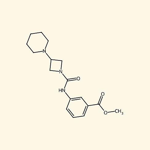 COC(=O)c1cccc(NC(=O)N2CC(N3CCCCC3)C2)c1